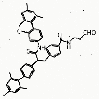 Cc1cc(C)c(-c2ccc(C(Cc3ccc(C(=O)NCCC=O)cc3)C(=O)Nc3ccc(-c4c(C)cc(C)cc4C)c(Cl)c3)cc2)c(C)c1